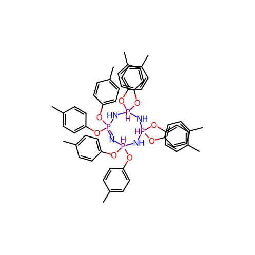 Cc1ccc(OP2(Oc3ccc(C)cc3)=N[PH](Oc3ccc(C)cc3)(Oc3ccc(C)cc3)N[PH](Oc3ccc(C)cc3)(Oc3ccc(C)cc3)N[PH](Oc3ccc(C)cc3)(Oc3ccc(C)cc3)N2)cc1